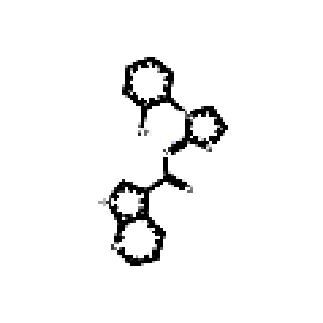 N#Cc1ccccc1-n1ccs/c1=N\C(=O)c1c[nH]c2ncccc12